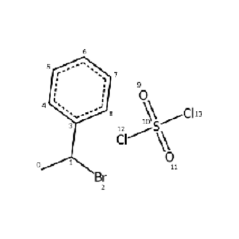 CC(Br)c1ccccc1.O=S(=O)(Cl)Cl